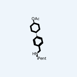 CCCC(C)NCc1ccc([C@H]2CC[C@H](OC(C)=O)CC2)cc1